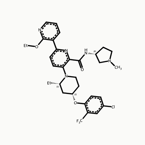 CCOc1ncccc1-c1ccc(N2CC[C@H](Oc3ccc(Cl)cc3C(F)(F)F)C[C@@H]2CC)c(C(=O)N[C@@H]2CCN(C)C2)n1